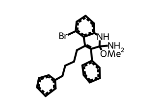 COC1(N)Nc2cccc(Br)c2C(CCCCc2ccccc2)=C1c1ccccc1